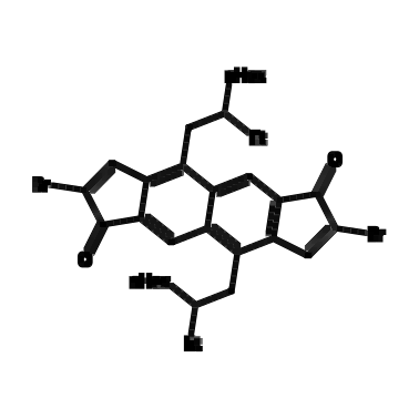 CCCCCCC(CC)Cc1c2cc3c(=O)c(Br)cc3c(CC(CC)CCCCCC)c2cc2c(=O)c(Br)cc12